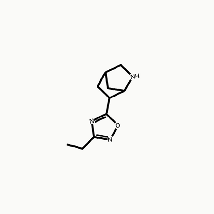 CCc1noc(C2CC3CNC2C3)n1